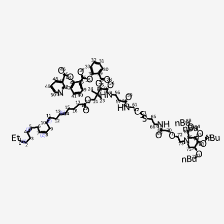 CC/C=C\C/C=C\C/C=C\C/C=C\C/C=C/CCCC(=O)OCC(C)(C)[C@@H](OC(=O)c1ccccc1OC(=O)c1ccccc1OC(=O)c1cccnc1)C(=O)NCCC(=O)NCCSSCCNC(=O)COCCN1CC(OCCCC)[C@@H](OCCCC)[C@H](OCCCC)C1COCCCC